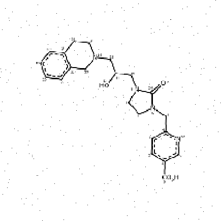 O=C(O)c1ccc(CN2CCN(CC(O)CN3CCc4ccccc4C3)C2=O)nc1